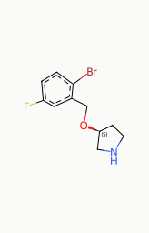 Fc1ccc(Br)c(CO[C@H]2CCNC2)c1